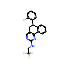 Fc1ccccc1C1Cc2cnc(NCC(F)(F)F)nc2-c2ccccc21